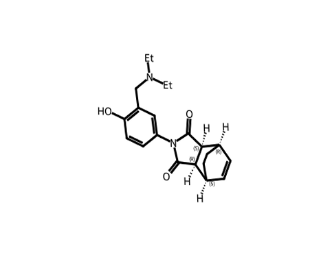 CCN(CC)Cc1cc(N2C(=O)[C@@H]3[C@H](C2=O)[C@@H]2C=C[C@H]3CC2)ccc1O